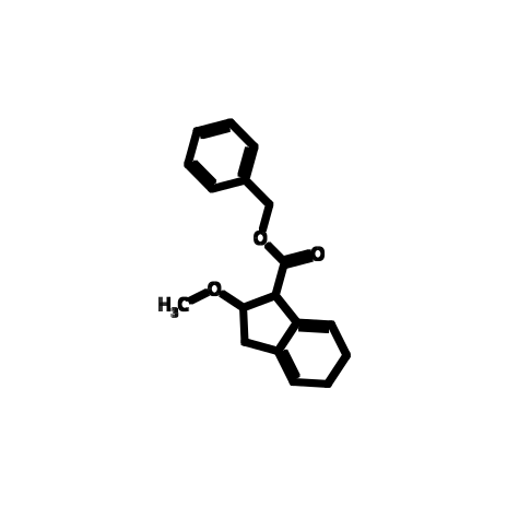 COC1CC2=CCCC=C2C1C(=O)OCc1ccccc1